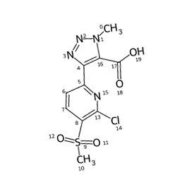 Cn1nnc(-c2ccc(S(C)(=O)=O)c(Cl)n2)c1C(=O)O